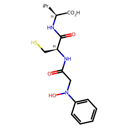 CC(C)[C@H](NC(=O)[C@H](CS)NC(=O)CN(O)c1ccccc1)C(=O)O